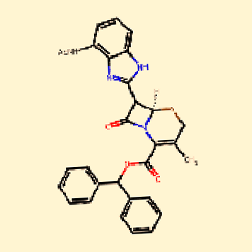 CC(=O)Nc1cccc2[nH]c(C3C(=O)N4C(C(=O)OC(c5ccccc5)c5ccccc5)=C(C)CS[C@H]34)nc12